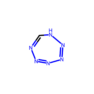 C1=NN=NN=NN1